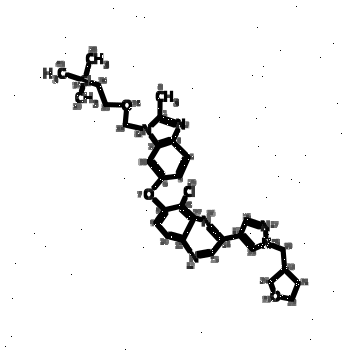 Cc1nc2ccc(Oc3ccc4ncc(-c5cnn(CC6CCOC6)c5)nc4c3Cl)cc2n1COCC[Si](C)(C)C